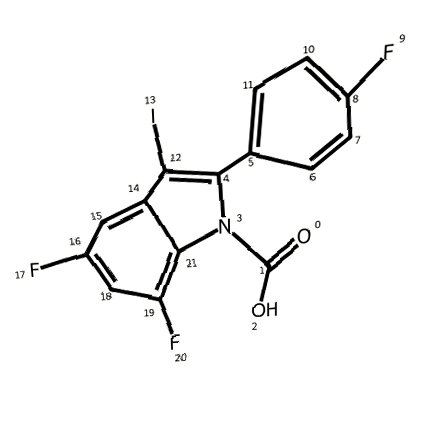 O=C(O)n1c(-c2ccc(F)cc2)c(I)c2cc(F)cc(F)c21